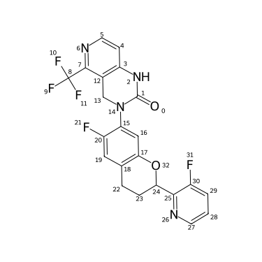 O=C1Nc2ccnc(C(F)(F)F)c2CN1c1cc2c(cc1F)CCC(c1ncccc1F)O2